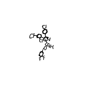 Fc1ccc(COC2CC(c3ncc(-c4ccc(Cl)cc4)c(-c4ccc(Cl)cc4Cl)n3)CN2)cc1F